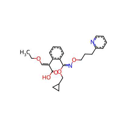 CCO/C=C(/C(=O)O)c1ccccc1/C(=N\OCCCc1ccccn1)OCC1CC1